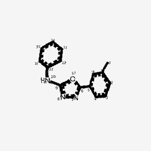 Cc1cccc(-c2nnc(Nc3ccccc3)o2)c1